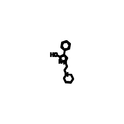 Oc1nn(CCN2CC=CCC2)cc1-c1ccccc1